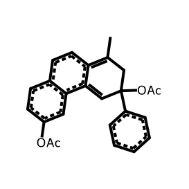 CC(=O)Oc1ccc2ccc3c(c2c1)=CC(OC(C)=O)(c1ccccc1)CC=3C